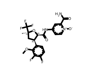 COc1c([C@H]2C[C@@](C)(C(F)(F)F)O[C@H]2C(=O)Nc2cc[n+]([O-])c(C(N)=O)c2)ccc(F)c1F